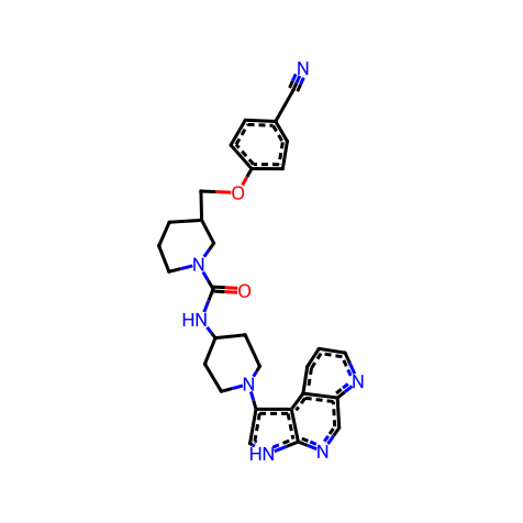 N#Cc1ccc(OCC2CCCN(C(=O)NC3CCN(c4c[nH]c5ncc6ncccc6c45)CC3)C2)cc1